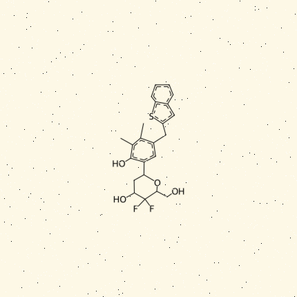 Cc1c(Cc2cc3ccccc3s2)cc(C2CC(O)C(F)(F)C(CO)O2)c(O)c1C